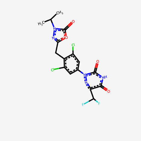 CC(C)n1nc(Cc2c(Cl)cc(-n3nc(C(F)F)c(=O)[nH]c3=O)cc2Cl)oc1=O